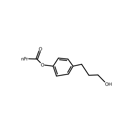 CCCC(=O)Oc1ccc(CCCO)cc1